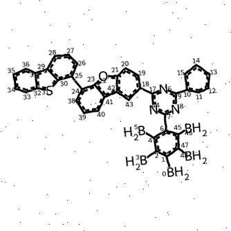 Bc1c(B)c(B)c(-c2nc(-c3ccccc3)nc(-c3ccc4oc5c(-c6cccc7c6sc6ccccc67)cccc5c4c3)n2)c(B)c1B